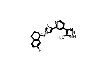 Cc1[nH]nnc1-c1ccnc(-c2cn(C[C@@H]3CCCc4ccc(F)cc43)cn2)c1